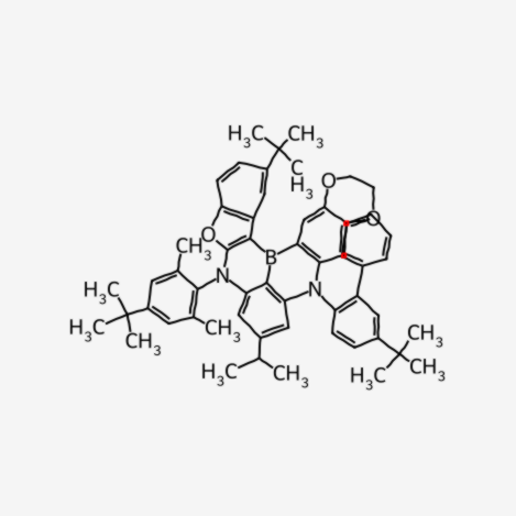 Cc1cc(C(C)(C)C)cc(C)c1N1c2cc(C(C)C)cc3c2B(c2cc4c(cc2N3c2ccc(C(C)(C)C)cc2-c2ccccc2)OCCO4)c2c1oc1ccc(C(C)(C)C)cc21